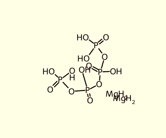 O=P(O)(O)OP(=O)(O)OP(=O)(O)OP(=O)(O)O.[MgH2].[MgH2]